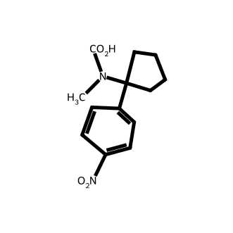 CN(C(=O)O)C1(c2ccc([N+](=O)[O-])cc2)CCCC1